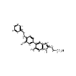 O=C(O)CSc1nc2cc(-c3ccc(OCc4ccccc4)c(F)c3)c(Cl)cc2[nH]1